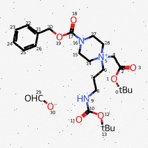 CC(C)(C)OC(=O)C[N+]1(CCCNC(=O)OC(C)(C)C)CCN(C(=O)OCc2ccccc2)CC1.O=C[O-]